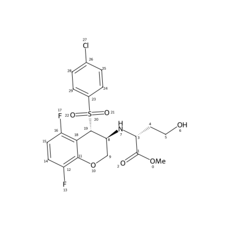 COC(=O)[C@@H](CCO)N[C@H]1COc2c(F)ccc(F)c2[C@@H]1S(=O)(=O)c1ccc(Cl)cc1